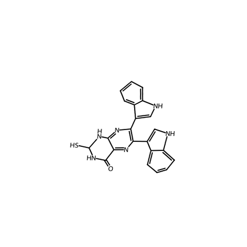 O=C1NC(S)Nc2nc(-c3c[nH]c4ccccc34)c(-c3c[nH]c4ccccc34)nc21